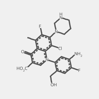 Cc1c(F)c(N2CCCNC2)c(Cl)c2c1c(=O)c(C(=O)O)cn2-c1cc(N)c(F)cc1CO